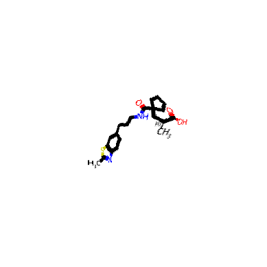 Cc1nc2ccc(CCCNC(=O)C3(C[C@@H](C)C(=O)O)CCCC3)cc2s1